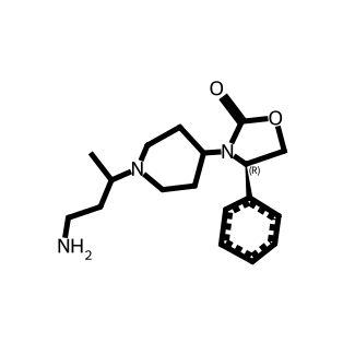 CC(CCN)N1CCC(N2C(=O)OC[C@H]2c2ccccc2)CC1